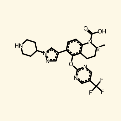 C[C@H]1CCc2c(ccc(-c3cnn(C4CCNCC4)c3)c2Oc2ncc(C(F)(F)F)cn2)N1C(=O)O